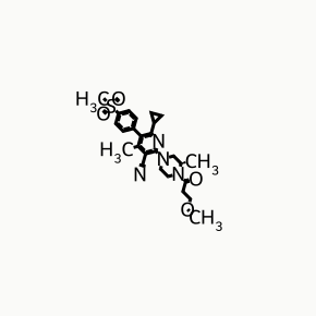 COCCC(=O)N1CCN(c2nc(C3CC3)c(-c3ccc(S(C)(=O)=O)cc3)c(C)c2C#N)C[C@H]1C